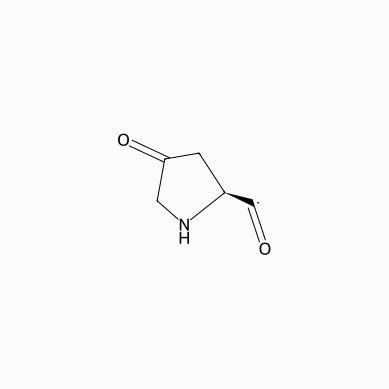 O=[C][C@@H]1CC(=O)CN1